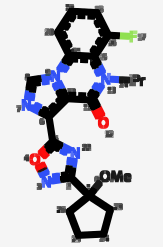 COC1(c2noc(-c3ncn4c3c(=O)n(C(C)C)c3c(F)cccc34)n2)CCCC1